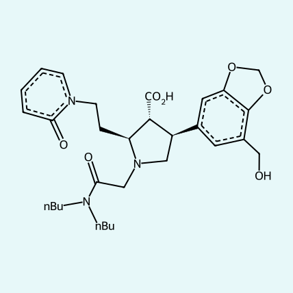 CCCCN(CCCC)C(=O)CN1C[C@H](c2cc(CO)c3c(c2)OCO3)[C@@H](C(=O)O)[C@@H]1CCn1ccccc1=O